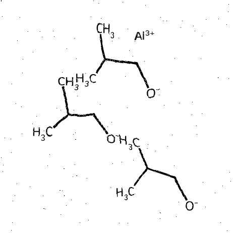 CC(C)C[O-].CC(C)C[O-].CC(C)C[O-].[Al+3]